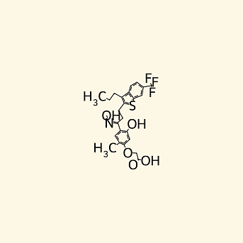 CCCc1c(CCC(=NO)c2cc(C)c(OCC(=O)O)cc2O)sc2cc(C(F)(F)F)ccc12